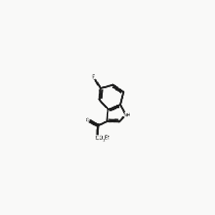 CCOC(=O)C(=O)c1c[nH]c2ccc(F)cc12